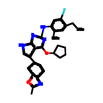 CNCc1cc(OC)c(Nc2nc(OC3CCCC3)c3c(-c4ccc5nc(C)oc5c4)c[nH]c3n2)cc1F